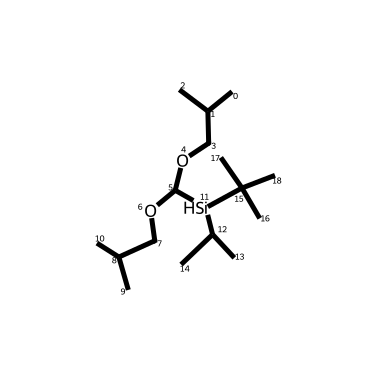 CC(C)COC(OCC(C)C)[SiH](C(C)C)C(C)(C)C